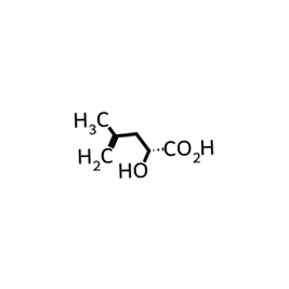 C=C(C)C[C@@H](O)C(=O)O